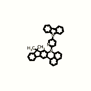 CC1(C)c2ccccc2-c2cc3c(cc21)N(c1ccc(-n2c4ccccc4c4ccccc42)cn1)c1cccc2cccc-3c12